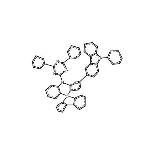 c1ccc(-c2nc(-c3ccccc3)nc(N3c4ccccc4[Si]4(c5ccccc5-c5ccccc54)c4ccc(-c5ccc6c(c5)c5ccccc5n6-c5ccccc5)cc43)n2)cc1